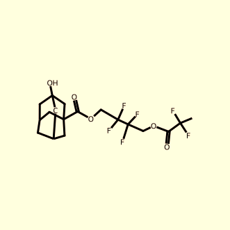 CC(F)(F)C(=O)OCC(F)(F)C(F)(F)COC(=O)C12CC3CC(CC(O)(C3)C1)C2